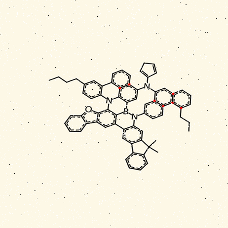 CCCCc1ccc(N(C2=CCC=C2)c2ccc3c(c2)B2c4c(cc5c(oc6ccccc65)c4N3c3ccc(CCCC)cc3-c3ccccc3)-c3cc4c(cc3N2c2ccc(-c3ccccc3)cc2)C(C)(C)c2ccccc2-4)cc1